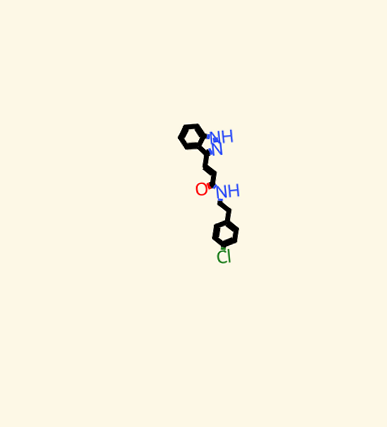 O=C(C=Cc1n[nH]c2ccccc12)NCCc1ccc(Cl)cc1